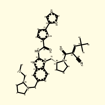 COC[C@@H]1CCCN1Cc1ccc2c(c1)nc(NC(=O)c1ccc(-c3cnco3)s1)n2C[C@H]1CCCN1C(=O)C(C#N)=CC(C)(C)C